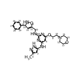 Cc1cc(Nc2cc(OCCN3CCOCC3)nc(NCC3=CC(c4ccccc4)NO3)n2)[nH]n1